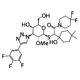 CO[C@@H]1[C@@H](n2cc(-c3cc(F)c(F)c(F)c3)nn2)[C@@H](O)[C@@H](CO)O[C@H]1SC(C(=O)N1CCC(F)(F)CC1)C1(O)CCC(C)(C)CC1